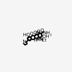 CCN[C@@H]1C(O)=C(C(N)=O)C(=O)[C@@]2(O)C(O)=C3C(=O)c4c(O)cc(C5CCCN5C)cc4C[C@H]3C[C@@H]12